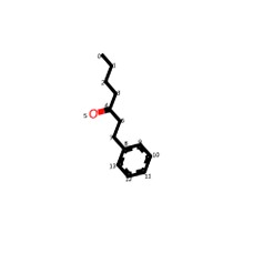 CCCCC(=O)[CH]Cc1ccccc1